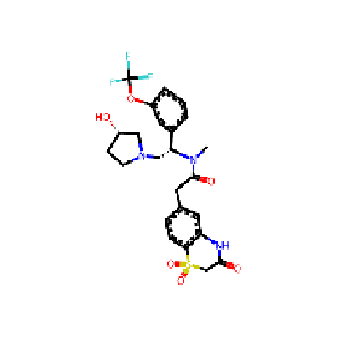 CN(C(=O)Cc1ccc2c(c1)NC(=O)CS2(=O)=O)[C@H](CN1CC[C@H](O)C1)c1cccc(OC(F)(F)F)c1